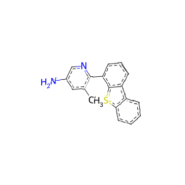 Cc1cc(N)cnc1-c1cccc2c1sc1ccccc12